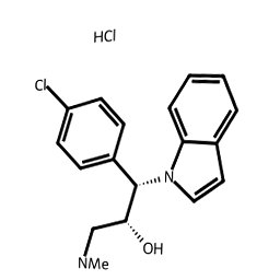 CNC[C@@H](O)[C@H](c1ccc(Cl)cc1)n1ccc2ccccc21.Cl